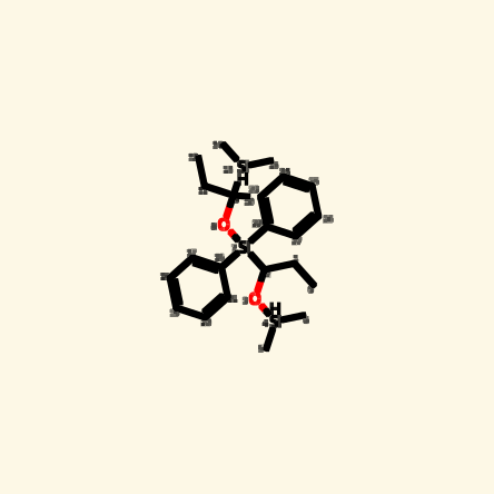 CCC(O[SiH](C)C)[Si](OC(C)(CC)[SiH](C)C)(c1ccccc1)c1ccccc1